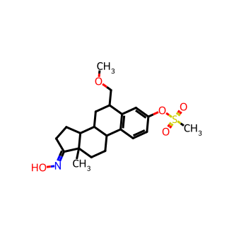 COCC1CC2C(CCC3(C)C(=NO)CCC23)c2ccc(OS(C)(=O)=O)cc21